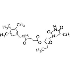 CCC1OC(n2cc(C)c(=O)[nH]c2=O)CC1OC(=O)CCC(=O)NCc1cc(C)c(C)c(C)c1